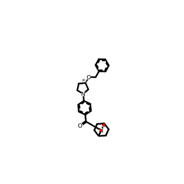 O=C(c1ccc(N2CC[C@@H](OCc3ccccc3)C2)cc1)N1CC2CCC(CC2)C1